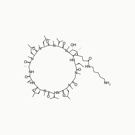 CC[C@@H]1NC(=O)[C@H]([C@H](O)[C@H](C)CCCC(=O)NCCCCCN)N(C)C(=O)[C@H](C(C)C)N(C)C(=O)[C@H](CC(C)C)N(C)C(=O)[C@H](CC(C)C)N(C)C(=O)[C@@H](C)NC(=O)[C@H](C)NC(=O)[C@H](CC(C)C)N(C)C(=O)[C@H](C(C)C)NC(=O)[C@H](CC(C)C)N(C)C(=O)CN(C)C1=O